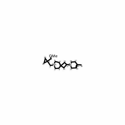 COCC1(CN2CCC3(CC2)CC(N2CC=C(C)CC2)C3)CC1